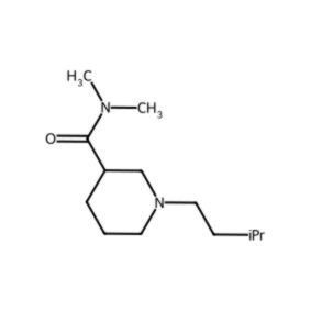 CC(C)CCN1CCCC(C(=O)N(C)C)C1